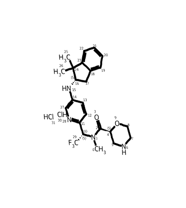 CN(C(=O)[C@@H]1CNCCO1)[C@@H](c1ccc(N[C@H]2Cc3ccccc3C2(C)C)cn1)C(F)(F)F.Cl.Cl